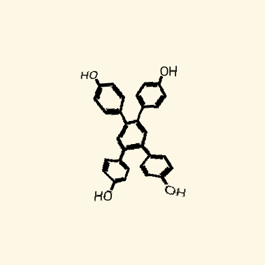 Oc1ccc(-c2cc(-c3ccc(O)cc3)c(-c3ccc(O)cc3)cc2-c2ccc(O)cc2)cc1